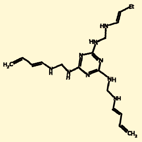 C=CC=CNCNc1nc(NCNC=CC=C)nc(NCNC=CCC)n1